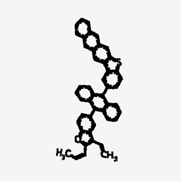 C=Cc1c(/C=C\C)oc2ccc(-c3c4ccccc4c(-c4ccc5sc6cc7cc8ccccc8cc7cc6c5c4)c4ccccc34)cc12